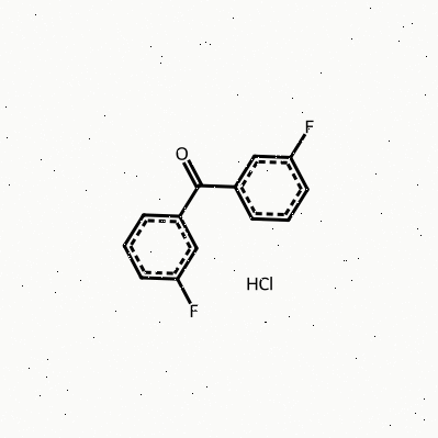 Cl.O=C(c1cccc(F)c1)c1cccc(F)c1